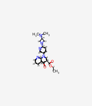 CCOC(=O)c1cn(-c2ccc(N3CC(N(C)C)C3)nc2)c2ncccc2c1=O